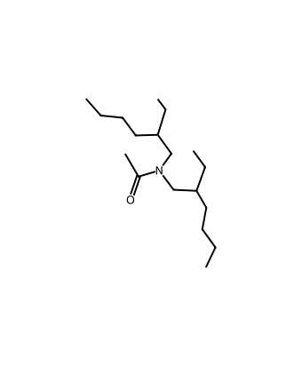 CCCCC(CC)CN(CC(CC)CCCC)C(C)=O